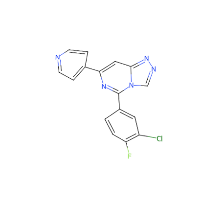 Fc1ccc(-c2nc(-c3ccncc3)cc3nncn23)cc1Cl